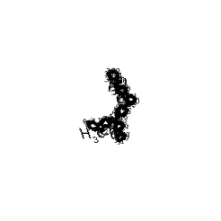 CC1(C)c2ccccc2-c2ccc(N(c3ccc(-c4cccc5c4oc4cc6nc(-c7ccccc7)oc6cc45)cc3)c3ccc4c(c3)oc3ccccc34)cc21